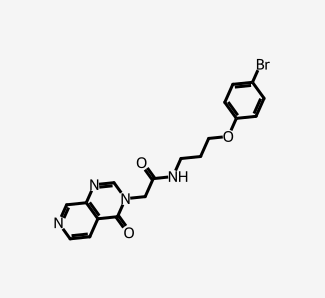 O=C(Cn1cnc2cnccc2c1=O)NCCCOc1ccc(Br)cc1